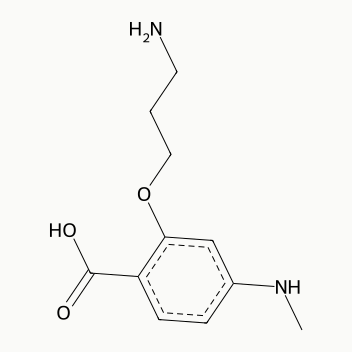 CNc1ccc(C(=O)O)c(OCCCN)c1